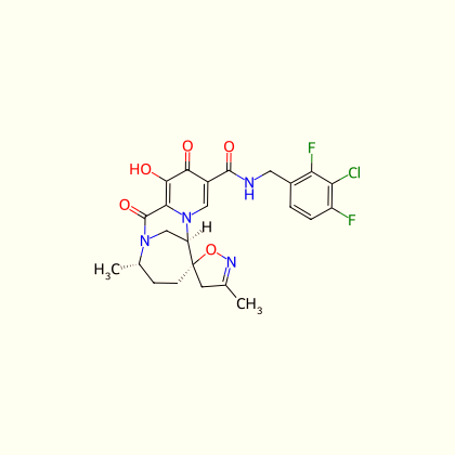 CC1=NO[C@@]2(CC[C@H](C)N3C[C@H]2n2cc(C(=O)NCc4ccc(F)c(Cl)c4F)c(=O)c(O)c2C3=O)C1